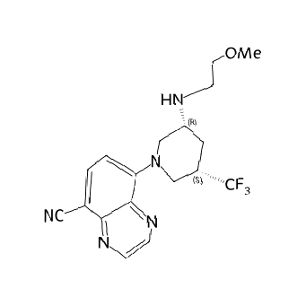 COCCN[C@@H]1C[C@H](C(F)(F)F)CN(c2ccc(C#N)c3nccnc23)C1